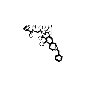 O=C(NC[C@H](NC(=O)c1c(Cl)cc2c(c1Cl)CCN(Cc1ccccc1)C2)C(=O)O)c1cccs1